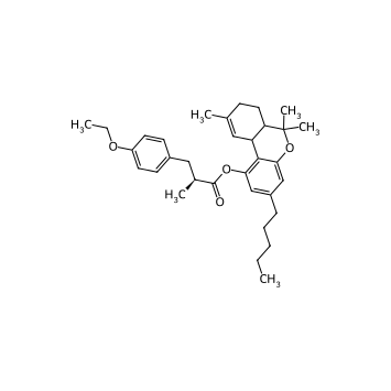 CCCCCc1cc(OC(=O)[C@@H](C)Cc2ccc(OCC)cc2)c2c(c1)OC(C)(C)C1CCC(C)=CC21